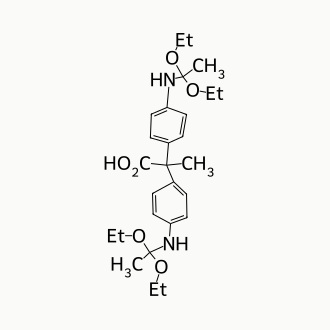 CCOC(C)(Nc1ccc(C(C)(C(=O)O)c2ccc(NC(C)(OCC)OCC)cc2)cc1)OCC